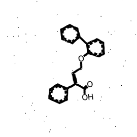 O=C(O)C(=CCOc1ccccc1-c1ccccc1)c1ccccc1